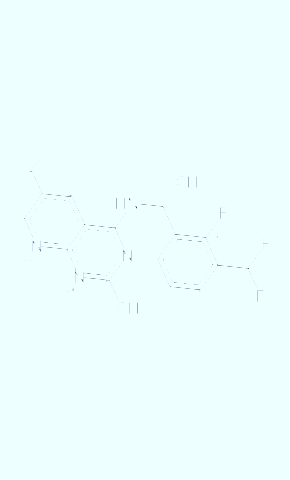 Cc1nc(N[C@H](C)c2cccc(C(F)F)c2F)c2cc(I)cnc2n1